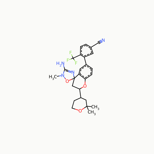 CN1OC2(CC(C3CCOC(C)(C)C3)Oc3ccc(-c4cc(C#N)ccc4C(F)(F)F)cc32)N=C1N